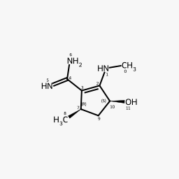 CNC1=C(C(=N)N)[C@H](C)C[C@@H]1O